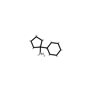 PC1(C2CCCCC2)CCCC1